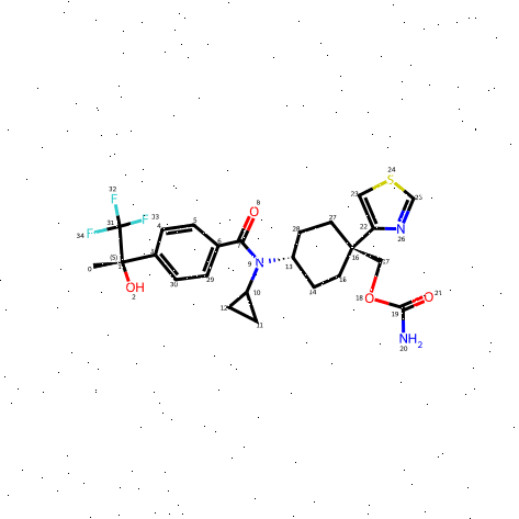 C[C@](O)(c1ccc(C(=O)N(C2CC2)[C@H]2CC[C@@](COC(N)=O)(c3cscn3)CC2)cc1)C(F)(F)F